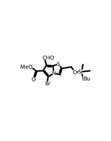 COC(=O)c1c(C=O)c2sc(CO[Si](C)(C)C(C)(C)C)cn2c1Br